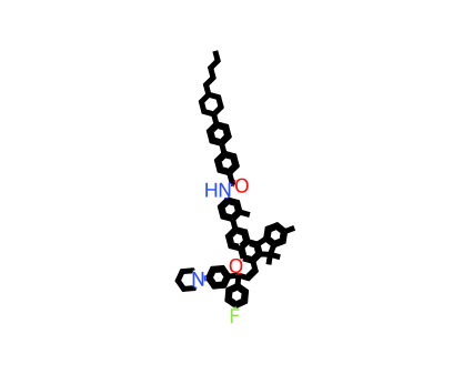 CCCCCC1CCC(c2ccc(-c3ccc(C(=O)Nc4ccc(-c5ccc6c7c(c8c(c6c5)-c5ccc(C)cc5C8(C)C)C=CC(c5ccc(F)cc5)(c5ccc(N6CCCCC6)cc5)O7)c(C)c4)cc3)cc2)CC1